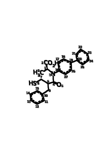 C[C@@H](C(=O)O)N(C(=O)C(CS)Cc1ccccc1)c1ccc(-c2ccccc2)cc1